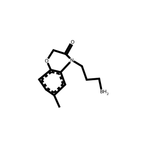 BCCCN1C(=O)COc2ccc(C)cc21